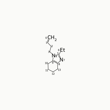 C=CCCn1c(CC)nc2c1CCCC2